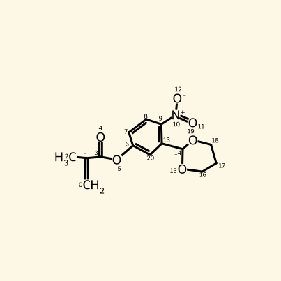 C=C(C)C(=O)Oc1ccc([N+](=O)[O-])c(C2OCCCO2)c1